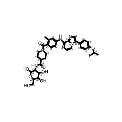 Cc1cc(Nc2nccn3c(-c4ccc(OC(F)F)cc4)cnc23)ccc1C(=O)N1CCC(C(=O)NC2C(O)OC(CO)C(O)C2O)CC1